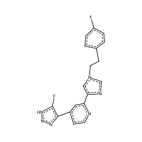 Fc1ccc(CCn2cnc(-c3cc(-c4nn[nH]c4F)ccn3)c2)cc1